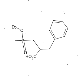 CCOP(C)(=O)CC(Cc1ccccc1)C(=O)O